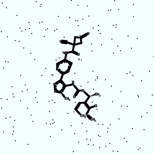 C=N/C(Cl)=C(\C=C/C)[C@@H](C)OC(=O)Nc1c(-c2ccc(NC(=O)C3(C#N)CC(=O)C3)cn2)nnn1C